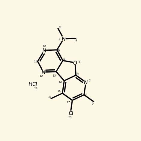 Cc1nc2oc3c(N(C)C)ncnc3c2c(C)c1Cl.Cl